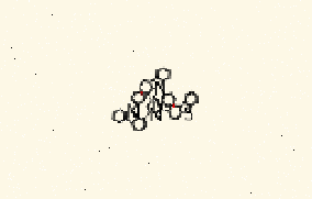 c1ccc(-n2c3ccccc3c3cccc(-c4cc(-c5cccc6c7ccccc7n(-c7ccccc7)c56)nc(-c5ccc6sc7ccccc7c6c5)n4)c32)cc1